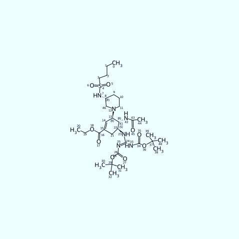 CCCCS(=O)(=O)N[C@@H]1CCCN([C@@H]2C=C(C(=O)OCC)C[C@H](NC(=NC(=O)OC(C)(C)C)NC(=O)OC(C)(C)C)[C@H]2NC(C)=O)C1